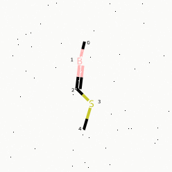 CB=CSC